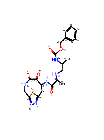 CC(C)C(CNC(C(=O)NC1Cc2nnc(s2)CNC(=O)C1=O)C(C)C)NC(=O)OCc1ccccc1